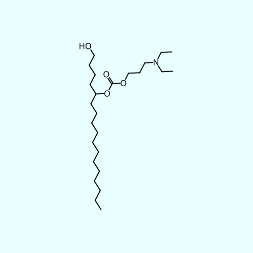 CCCCCCCCCCCCC(CCCCO)OC(=O)OCCCN(CC)CC